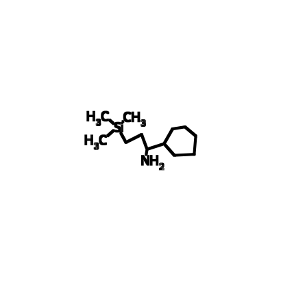 C[Si](C)(C)CCC(N)C1CCCCC1